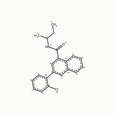 CCC(C)NC(=O)c1cc(-c2ccccc2Cl)nc2ccccc12